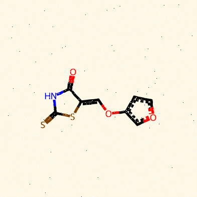 O=C1NC(=S)SC1=COc1ccoc1